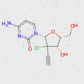 C#CC1(Cl)[C@@H](O)[C@@H](CO)O[C@H]1n1ccc(N)nc1=O